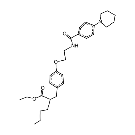 CCCCC(Cc1ccc(OCCNC(=O)c2ccc(N3CCCCC3)cc2)cc1)C(=O)OCC